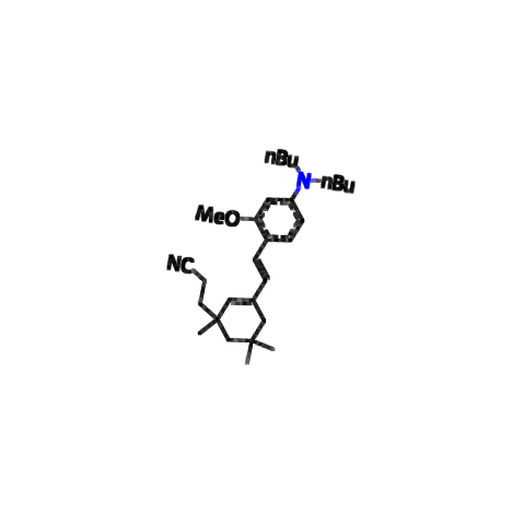 CCCCN(CCCC)c1ccc(/C=C/C2=CC(C)(CCC#N)CC(C)(C)C2)c(OC)c1